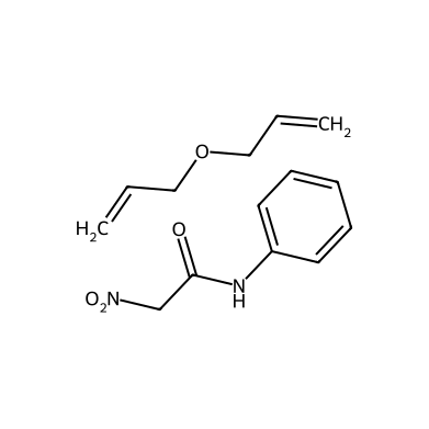 C=CCOCC=C.O=C(C[N+](=O)[O-])Nc1ccccc1